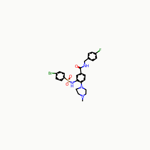 CN1CCN(c2ccc(C(=O)NCc3ccc(F)cc3)cc2NS(=O)(=O)c2ccc(Br)cc2)CC1